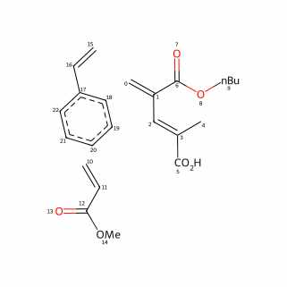 C=C(C=C(C)C(=O)O)C(=O)OCCCC.C=CC(=O)OC.C=Cc1ccccc1